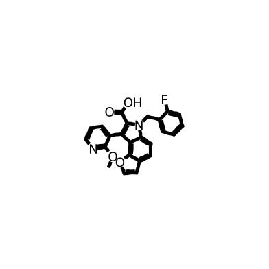 COc1ncccc1-c1c(C(=O)O)n(Cc2ccccc2F)c2ccc3ccoc3c12